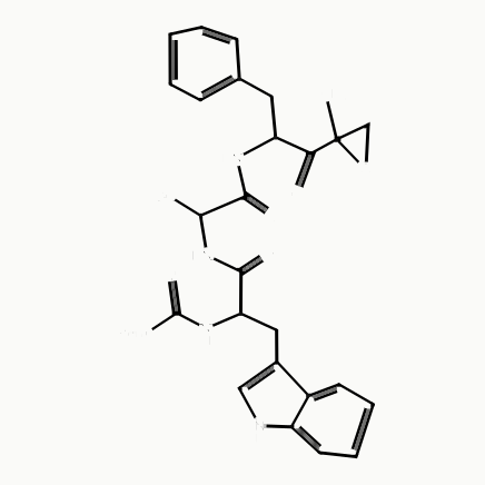 CCCCCC(=O)NC(Cc1c[nH]c2ccccc12)C(=O)NC(CCCC)C(=O)NC(Cc1ccccc1)C(=O)C1(C)CO1